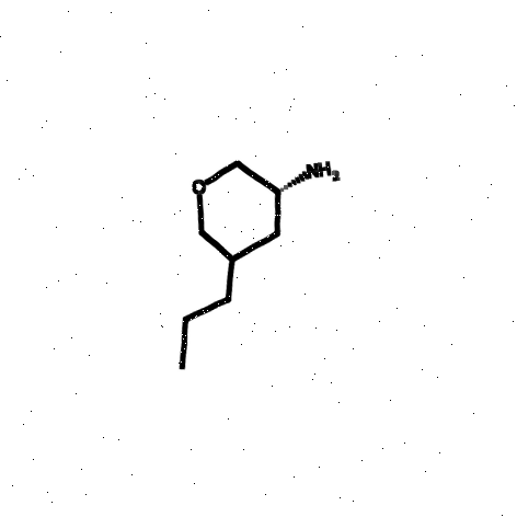 CCCC1COC[C@H](N)C1